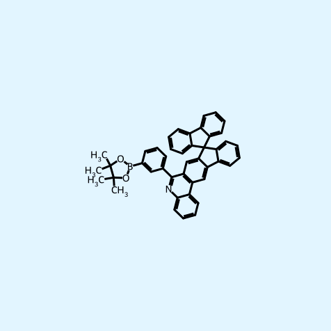 CC1(C)OB(c2cccc(-c3nc4ccccc4c4cc5c(cc34)C3(c4ccccc4-c4ccccc43)c3ccccc3-5)c2)OC1(C)C